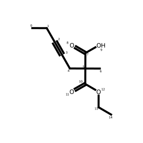 CCC#CCC(C)(C(=O)O)C(=O)OCC